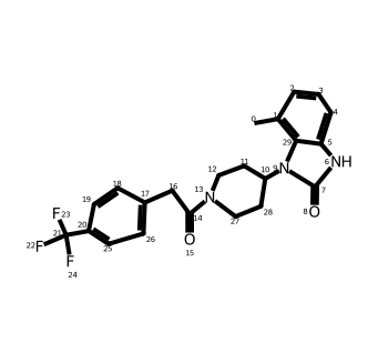 Cc1cccc2[nH]c(=O)n(C3CCN(C(=O)Cc4ccc(C(F)(F)F)cc4)CC3)c12